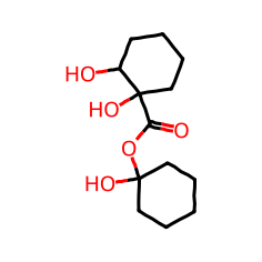 O=C(OC1(O)CCCCC1)C1(O)CCCCC1O